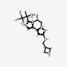 C[C@H]1Cn2nc(OCC3COC3)cc2-c2cnc(C(C)(O)C(F)(F)F)n21